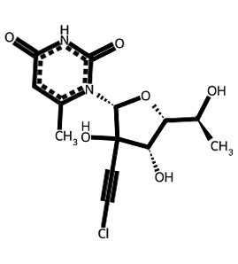 Cc1cc(=O)[nH]c(=O)n1[C@@H]1O[C@H]([C@H](C)O)[C@H](O)C1(O)C#CCl